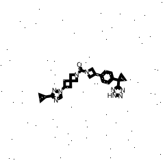 O=C(N1CC(c2ccc(C3(c4nn[nH]n4)CC3)cc2)C1)N1CC2(CC(n3cnc(C4CC4)n3)C2)C1